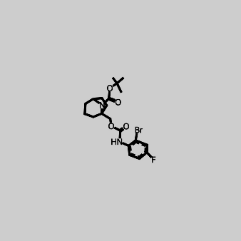 CC(C)(C)OC(=O)N1C2CCCC1(COC(=O)Nc1ccc(F)cc1Br)CC2